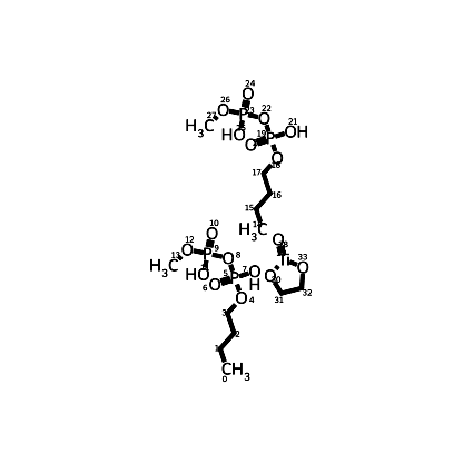 CCCCOP(=O)(O)OP(=O)(O)OC.CCCCOP(=O)(O)OP(=O)(O)OC.[O]=[Ti]1[O]CC[O]1